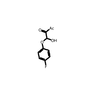 CC(=O)C(=O)C(O)Oc1ccc(F)cc1